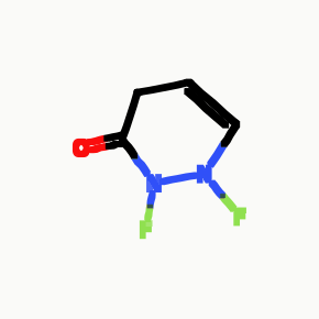 O=C1CC=CN(F)N1F